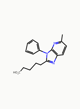 Cc1ccc2nc(CCCCC(=O)O)n(-c3ccccc3)c2n1